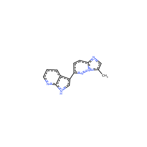 Cc1cnc2ccc(-c3c[nH]c4ncccc34)nn12